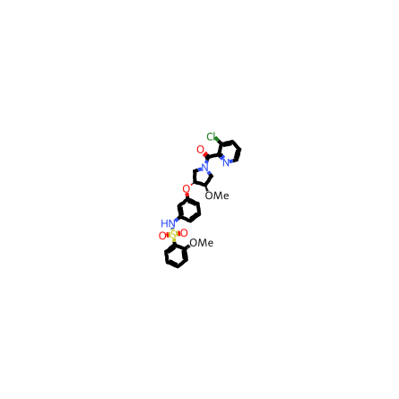 COc1ccccc1S(=O)(=O)Nc1cccc(O[C@@H]2CN(C(=O)c3ncccc3Cl)C[C@H]2OC)c1